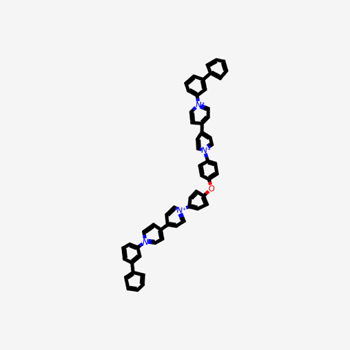 c1ccc(-c2cccc(-[n+]3ccc(-c4cc[n+](-c5ccc(Oc6ccc(-[n+]7ccc(-c8cc[n+](-c9cccc(-c%10ccccc%10)c9)cc8)cc7)cc6)cc5)cc4)cc3)c2)cc1